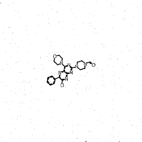 O=CN1CCN(c2nc(N3CCOCC3)c3nc(-c4ccccc4)c(Cl)nc3n2)CC1